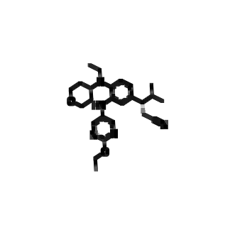 CCOc1ncc(Nc2cc([C@@H](CC#N)C(C)C)ccc2N(CC)C2CCOCC2)cn1